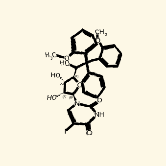 COc1ccccc1C(c1ccccc1)(c1ccccc1OC)C(O)[C@H]1O[C@@H](n2cc(I)c(=O)[nH]c2=O)[C@H](O)[C@@H]1O